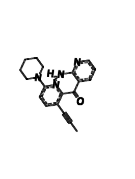 CC#Cc1ccc(N2CCCCC2)nc1C(=O)c1cccnc1N